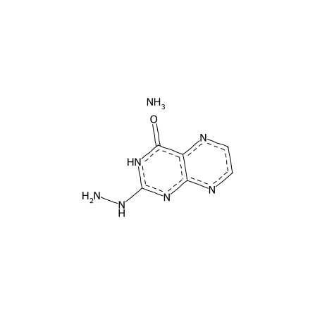 N.NNc1nc2nccnc2c(=O)[nH]1